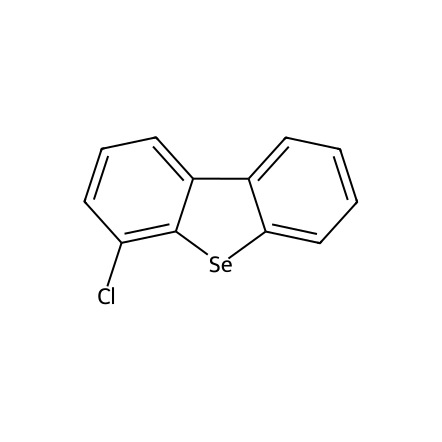 Clc1cccc2c1[se]c1ccccc12